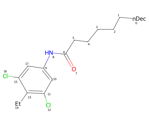 CCCCCCCCCCCCCCCC(=O)Nc1[c]c(Cl)c(CC)c(Cl)c1